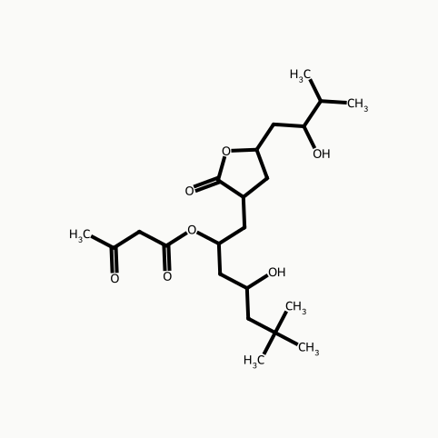 CC(=O)CC(=O)OC(CC(O)CC(C)(C)C)CC1CC(CC(O)C(C)C)OC1=O